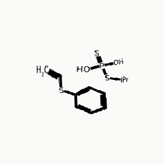 C=CSc1ccccc1.CC(C)SP(O)(O)=S